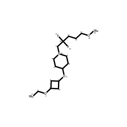 CC(C)(C)COC1CC(OC2CCN(CC(F)(F)CCCOC(C)(C)C)CC2)C1